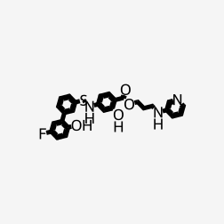 O=C(OCCCNc1cccnc1)c1ccc(NSc2cccc(-c3cc(F)ccc3O)c2)cc1O